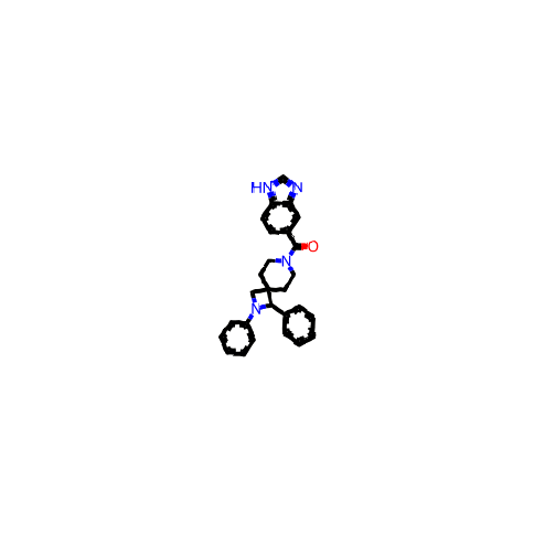 O=C(c1ccc2[nH]cnc2c1)N1CCC2(CC1)CN(c1ccccc1)C2c1ccccc1